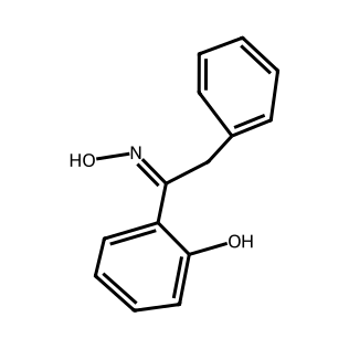 ON=C(Cc1ccccc1)c1ccccc1O